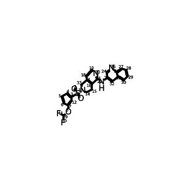 O=S(=O)(c1cccc(OC(F)F)c1)N1CCc2c(ccnc2Nc2cnc3ccccc3c2)C1